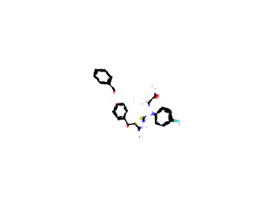 C[C@@H](C(N)=O)N(c1ccc(F)cc1)c1nc(N)c(C(=O)c2ccc(OCc3ccccc3)cc2)s1